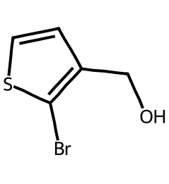 OCc1ccsc1Br